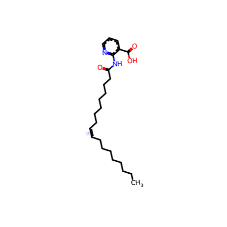 CCCCCCCC/C=C\CCCCCCCC(=O)Nc1ncccc1C(=O)O